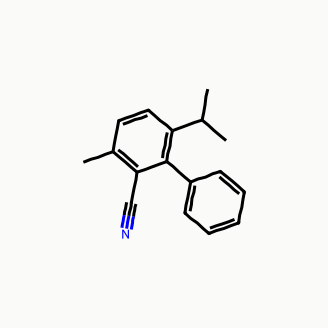 Cc1ccc(C(C)C)c(-c2ccccc2)c1C#N